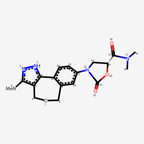 CNc1n[nH]c2c1CCCc1cc(N3C[C@H](C(=O)N(C)C)OC3=O)ccc1-2